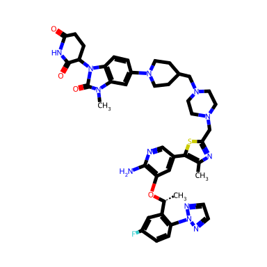 Cc1nc(CN2CCN(CC3CCN(c4ccc5c(c4)n(C)c(=O)n5C4CCC(=O)NC4=O)CC3)CC2)sc1-c1cnc(N)c(O[C@H](C)c2cc(F)ccc2-n2nccn2)c1